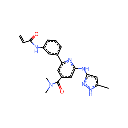 C=CC(=O)Nc1cccc(-c2cc(C(=O)N(C)C)cc(Nc3cc(C)[nH]n3)n2)c1